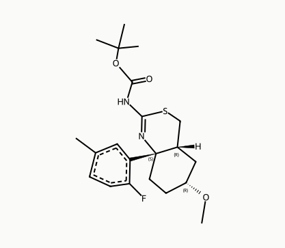 CO[C@@H]1CC[C@]2(c3cc(C)ccc3F)N=C(NC(=O)OC(C)(C)C)SC[C@@H]2C1